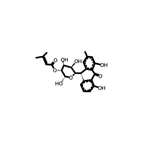 CC(C)=CC(=O)O[C@@H]1[C@H](O)[C@@H](O)[C@@H]([C@H]2c3cccc(O)c3C(=O)c3c(O)cc(C)cc32)O[C@@H]1O